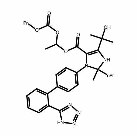 CCCC1(C)NC(C(C)(C)O)=C(C(=O)OC(C)OC(=O)OC(C)C)N1c1ccc(-c2ccccc2-c2nnn[nH]2)cc1